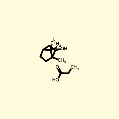 CC1(C)C2CCC1(C)C(O)C2.CCC(=O)O